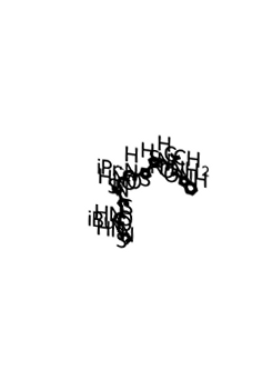 C=C(C)[C@H](NC(=O)c1cc2ccccc2[nH]1)C(=O)Nc1nc(-c2csc(C(=O)N[C@@H](CC(C)C)C(=O)Nc3nc(-c4csc(C(=O)N[C@H](C(=O)Nc5nccs5)C(C)CC)c4)cs3)c2)cs1